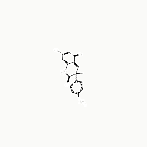 CC1(c2ccc(N)cc2)C=C2C(=O)C=C(Cl)C=C2NC1=O